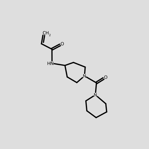 C=CC(=O)NC1CCN(C(=O)N2CCCCC2)CC1